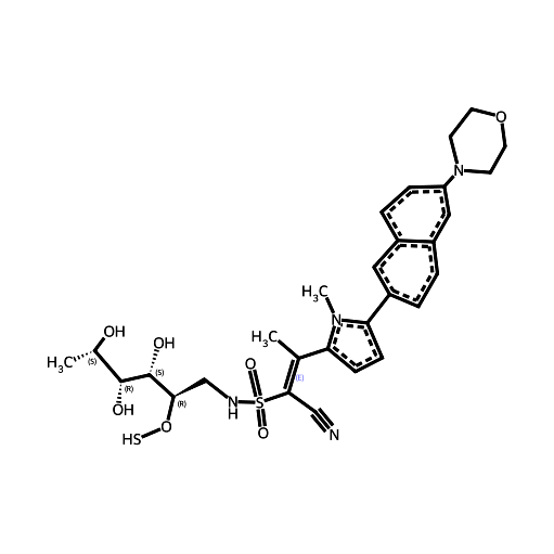 C/C(=C(/C#N)S(=O)(=O)NC[C@@H](OS)[C@@H](O)[C@H](O)[C@H](C)O)c1ccc(-c2ccc3cc(N4CCOCC4)ccc3c2)n1C